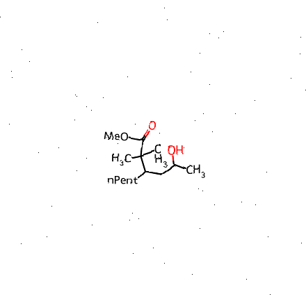 CCCCCC(CC(C)O)C(C)(C)C(=O)OC